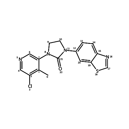 Cc1c(Cl)cncc1N1CCN(c2ccc3ncsc3c2)C1=O